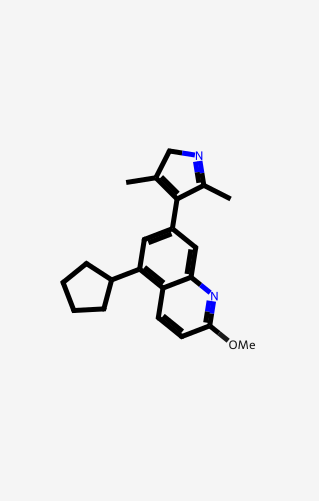 COc1ccc2c(C3CCCC3)cc(C3=C(C)CN=C3C)cc2n1